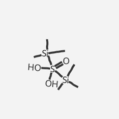 C[Si](C)(C)S(=O)(O)(O)[Si](C)(C)C